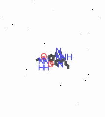 CCCC[C@H](Nc1cncc(-c2ccc(NC(=O)NCC)c(OC)c2)n1)c1ccccn1